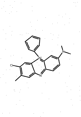 Cc1cc2nc3ccc(N(C)C)cc3[n+](-c3ccccc3)c2cc1Cl